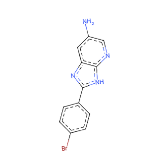 Nc1cnc2[nH]c(-c3ccc(Br)cc3)nc2c1